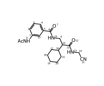 CC(=O)Nc1cccc(C(=O)NCC(C(=O)NCC#N)C2CCCCC2)c1